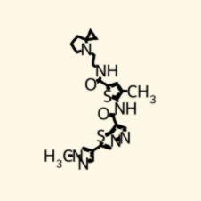 Cc1cc(C(=O)NCCN2CCCC23CC3)sc1NC(=O)c1cnn2cc(-c3cnn(C)c3)sc12